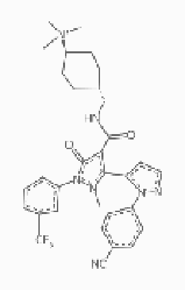 Cn1c(-c2ccnn2-c2ccc(C#N)cc2)c(C(=O)NC[C@H]2CC[C@H]([N+](C)(C)C)CC2)c(=O)n1-c1cccc(C(F)(F)F)c1